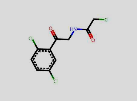 O=C(CCl)NCC(=O)c1cc(Cl)ccc1Cl